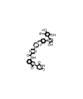 CC(C)c1cc(-c2nnc(O)n2-c2ccc(CN3CCN(c4cnc(C(=O)Nc5cccc6c5CN(C5CCC(=O)NC5=O)C6=O)cn4)CC3)c(F)c2)c(O)cc1O